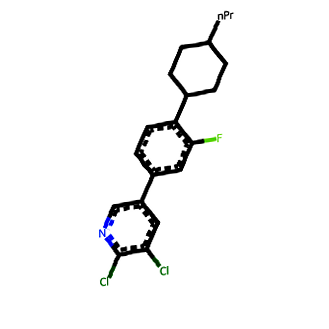 CCCC1CCC(c2ccc(-c3cnc(Cl)c(Cl)c3)cc2F)CC1